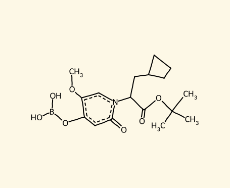 COc1cn(C(CC2CCC2)C(=O)OC(C)(C)C)c(=O)cc1OB(O)O